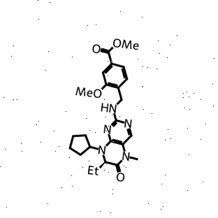 CC[C@@H]1C(=O)N(C)c2cnc(NCc3ccc(C(=O)OC)cc3OC)nc2N1C1CCCC1